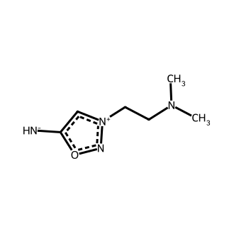 CN(C)CC[n+]1cc([NH-])on1